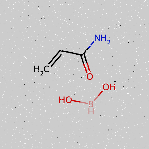 C=CC(N)=O.OBO